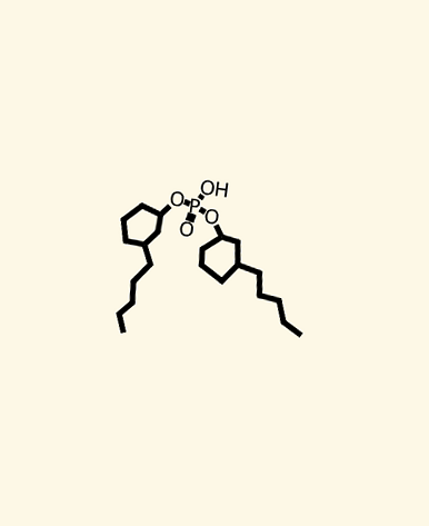 CCCCCC1CCCC(OP(=O)(O)OC2CCCC(CCCCC)C2)C1